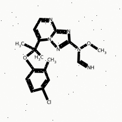 CON(C=N)c1nc2nccc(C(C)(C)Oc3ccc(Cl)cc3C)n2n1